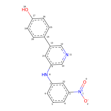 O=[N+]([O-])c1cccc(Nc2cncc(-c3ccc(O)cc3)c2)c1